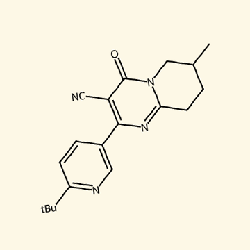 CC1CCc2nc(-c3ccc(C(C)(C)C)nc3)c(C#N)c(=O)n2C1